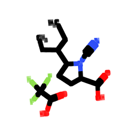 CCC(CC)C1CCC(C(=O)O)N1C#N.O=C(O)C(F)(F)F